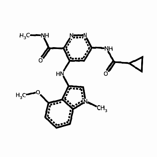 CNC(=O)c1nnc(NC(=O)C2CC2)cc1Nc1cn(C)c2cccc(OC)c12